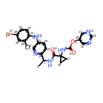 CC(NC(=O)C1(NC(=O)Oc2cncnc2)CC1)c1ccc(Nc2ccc(Br)cc2C(F)(F)F)cn1